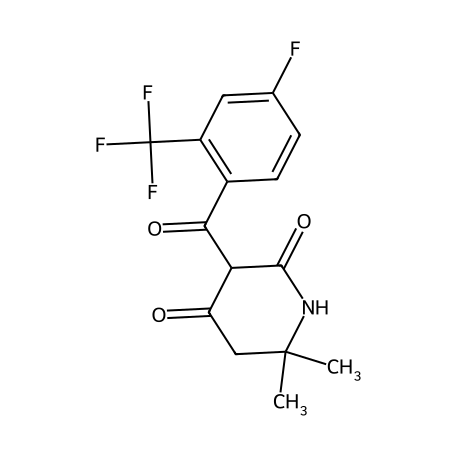 CC1(C)CC(=O)C(C(=O)c2ccc(F)cc2C(F)(F)F)C(=O)N1